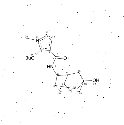 CC(C)COc1c(C(=O)NC2C3CC4CC2CC(O)(C4)C3)cnn1C